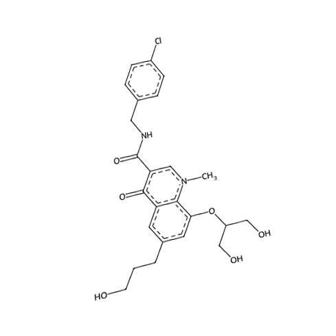 Cn1cc(C(=O)NCc2ccc(Cl)cc2)c(=O)c2cc(CCCO)cc(OC(CO)CO)c21